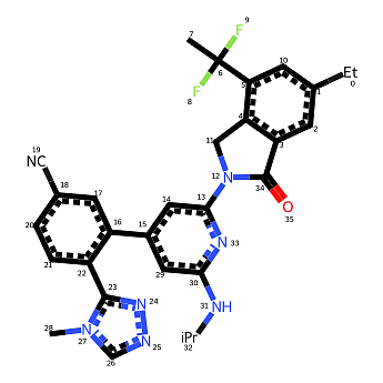 CCc1cc2c(c(C(C)(F)F)c1)CN(c1cc(-c3cc(C#N)ccc3-c3nncn3C)cc(NC(C)C)n1)C2=O